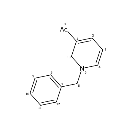 CC(=O)C1=CC=CN(Cc2ccccc2)C1